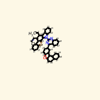 C=Cc1c(/C=C\C)c2c3ccccc3sc2c2c1c1ccccc1n2-c1nc(-c2ccc3oc4ccc5ccccc5c4c3c2)c2ccccc2n1